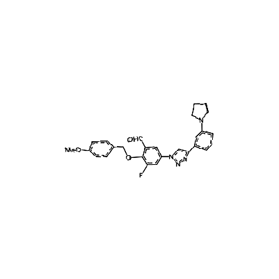 COc1ccc(COc2c(F)cc(-n3cc(-c4cccc(N5CCCC5)c4)nn3)cc2C=O)cc1